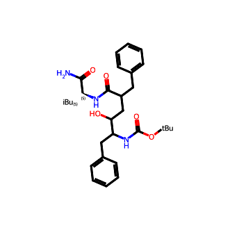 CC[C@H](C)[C@H](NC(=O)C(Cc1ccccc1)CC(O)C(Cc1ccccc1)NC(=O)OC(C)(C)C)C(N)=O